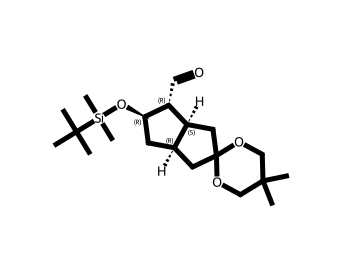 CC1(C)COC2(C[C@H]3C[C@@H](O[Si](C)(C)C(C)(C)C)[C@H](C=O)[C@H]3C2)OC1